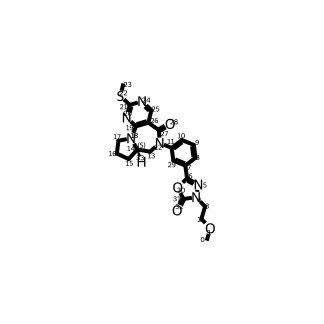 COCCn1nc(-c2cccc(N3C[C@@H]4CCCN4c4nc(SC)ncc4C3=O)c2)oc1=O